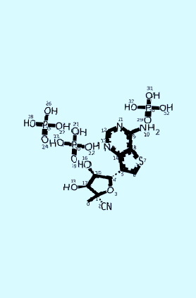 C[C@]1(C#N)O[C@@H](c2csc3c(N)ncnc23)[C@H](O)[C@@H]1O.O=P(O)(O)O.O=P(O)(O)O.O=P(O)(O)O